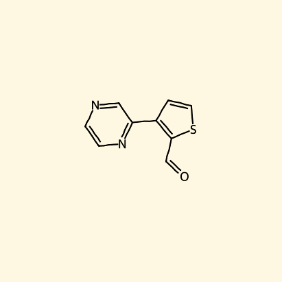 O=Cc1sccc1-c1cnccn1